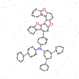 c1ccc(-c2ccc(N(c3ccc(-c4cc5oc6ccc7oc8ccccc8c7c6c5c5oc6ccccc6c45)cc3)c3cc(-c4ccccc4)cc(-c4ccccc4)c3)cc2)cc1